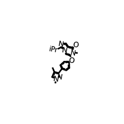 Cc1cn(C)nc1-c1ccc(Oc2cn3c(C(C)C)ncc3c(=O)n2C)cc1